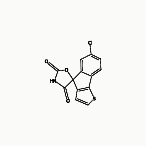 O=C1NC(=O)C2(O1)c1cc(Cl)ccc1-c1sccc12